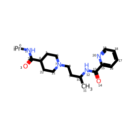 CC(C)NC(=O)C1CCN(CCC(C)NC(=O)c2ccccn2)CC1